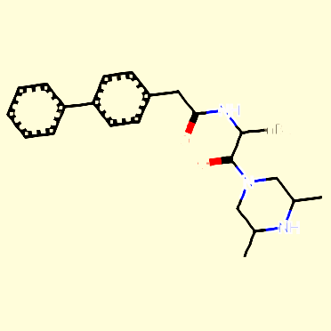 CCCCC(NC(=O)Cc1ccc(-c2ccccc2)cc1)C(=O)N1CC(C)NC(C)C1